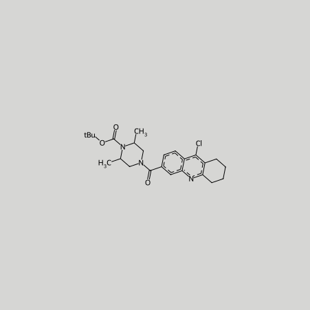 CC1CN(C(=O)c2ccc3c(Cl)c4c(nc3c2)CCCC4)CC(C)N1C(=O)OC(C)(C)C